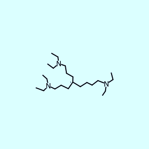 CCN(CC)CCCC[C](CCCN(CC)CC)CCCN(CC)CC